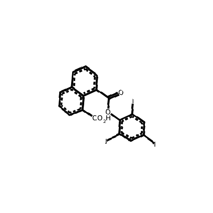 O=C(O)c1cccc2cccc(C(=O)Oc3c(I)cc(I)cc3I)c12